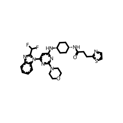 O=C(CCc1nccs1)N[C@H]1CC[C@H](Nc2cc(-n3c(C(F)F)nc4ccccc43)nc(N3CCOCC3)n2)CC1